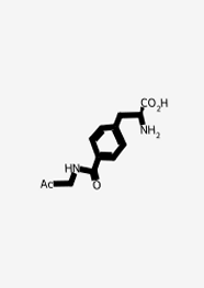 CC(=O)CNC(=O)c1ccc(C[C@H](N)C(=O)O)cc1